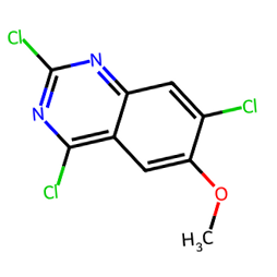 COc1cc2c(Cl)nc(Cl)nc2cc1Cl